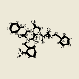 CN(C)c1cccc(F)c1CN1C[C@H]2N(C(=O)CN2N(C)C(=O)NCc2ccccc2)[C@@H](Cc2ccccc2)C1=O